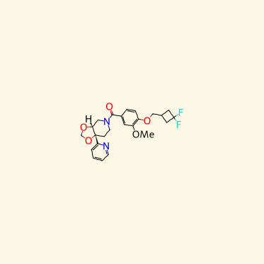 COc1cc(C(=O)N2CC[C@]3(c4ccccn4)OCO[C@@H]3C2)ccc1OCC1CC(F)(F)C1